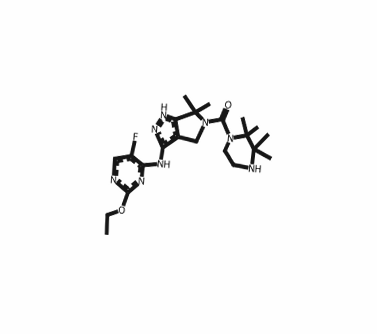 CCOc1ncc(F)c(Nc2n[nH]c3c2CN(C(=O)N2CCNC(C)(C)C2(C)C)C3(C)C)n1